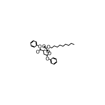 CCCCCCCCCOS(=O)(=O)C(CC(=O)Oc1ccccc1)C(=O)Oc1ccccc1